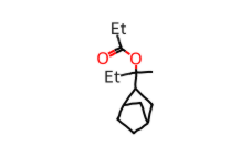 CCC(=O)OC(C)(CC)C1CC2CCC1C2